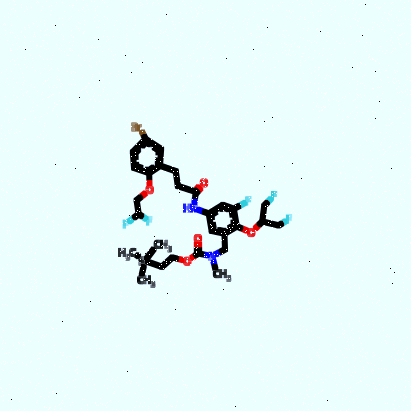 CN(Cc1cc(NC(=O)CCc2cc(Br)ccc2OCC(F)F)cc(F)c1OC(CF)CF)C(=O)OCC[Si](C)(C)C